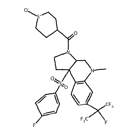 CN1CC2N(C(=O)C3CC[S+]([O-])CC3)CCC2(S(=O)(=O)c2ccc(F)cc2)c2ccc(C(F)(C(F)(F)F)C(F)(F)F)cc21